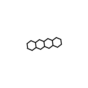 [CH]1CCC2CC3CC4CCCCC4CC3CC2C1